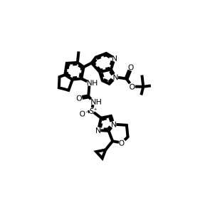 Cc1cc2c(c(NC(=O)N[S+]([O-])c3cn4c(n3)C(C3CC3)OCC4)c1-c1ccnc3c1ccn3C(=O)OC(C)(C)C)CCC2